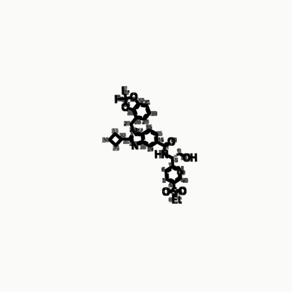 CCS(=O)(=O)c1ccc([C@@H](CO)NC(=O)c2ccc3c(c2)nc(C2CCC2)n3Cc2cccc3c2OC(F)(F)O3)nc1